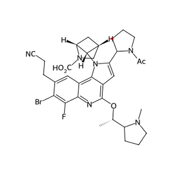 CC(=O)N1CCCC1c1cc2c(O[C@@H](C)C3CCCN3C)nc3c(F)c(Br)c(CCC#N)cc3c2n1[C@H]1[C@@H]2C[C@H]1N(C(=O)O)C2